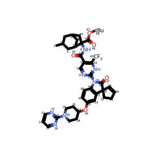 CC1CC2CC(C1)C(NC(=O)c1cnc(N3C(=O)C4(C=CCC4)c4cc(OC5CCN(c6ncccn6)CC5)ccc43)nc1C(F)(F)F)(C(=O)OC(C)(C)C)C2